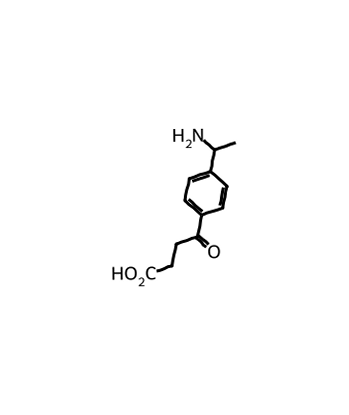 CC(N)c1ccc(C(=O)CCC(=O)O)cc1